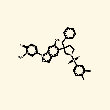 Cc1cc2c(cnn2-c2ccc(=O)n(C)c2)cc1C1(Cc2ccccc2)CCN(S(=O)(=O)c2ccc(F)c(F)c2)C1